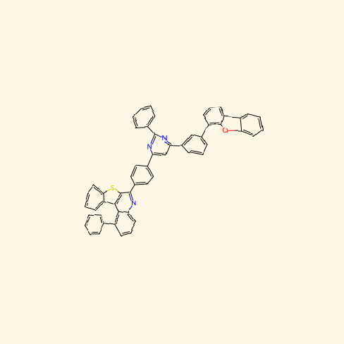 c1ccc(-c2nc(-c3ccc(-c4nc5cccc(-c6ccccc6)c5c5c4sc4ccccc45)cc3)cc(-c3cccc(-c4cccc5c4oc4ccccc45)c3)n2)cc1